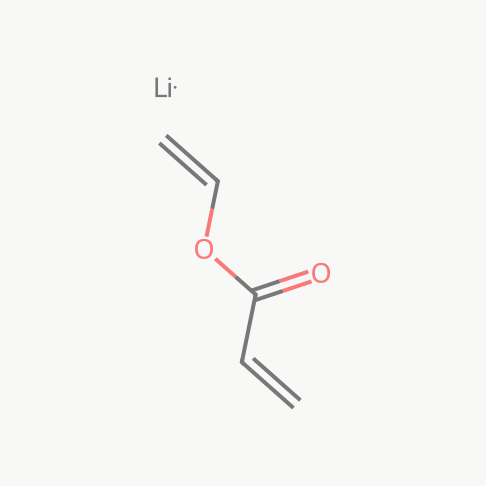 C=COC(=O)C=C.[Li]